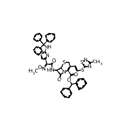 CON=C(C(=O)NC1C(=O)N2C(C(=O)OC(c3ccccc3)c3ccccc3)=C(C=CSc3nc(C)ns3)CSC12)c1csc(NC(c2ccccc2)(c2ccccc2)c2ccccc2)n1